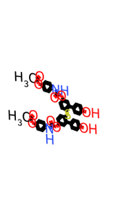 CC(=O)Oc1ccc(NC(=O)Oc2ccc(Sc3ccc(OC(=O)Nc4ccc(OC(C)=O)cc4)cc3-c3ccc(O)cc3)c(-c3ccc(O)cc3)c2)cc1